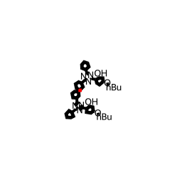 CCCCOc1ccc(-c2nc(-c3ccccc3)nc(-c3ccccc3)n2)c(O)c1.CCCCOc1ccc(-c2nc(-c3ccccc3)nc(-c3ccccc3)n2)c(O)c1